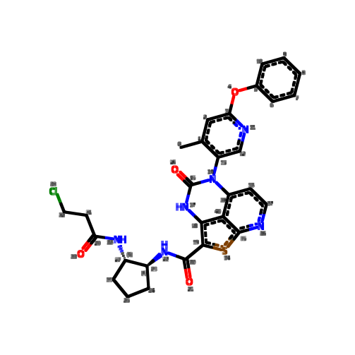 Cc1cc(Oc2ccccc2)ncc1N1C(=O)Nc2c(C(=O)N[C@H]3CCC[C@@H]3NC(=O)CCCl)sc3nccc1c23